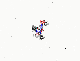 Cc1c(N2CCN(C(=O)c3ccccc3O)CC2)c(=O)n(C[C@H](C)c2ccccc2)c(=O)n1Cc1c(F)cccc1F